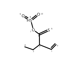 C=CC(CC)C(=S)O[SH](=O)=O